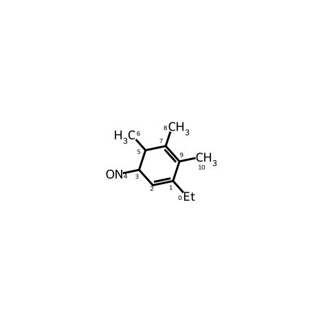 CCC1=CC(N=O)C(C)C(C)=C1C